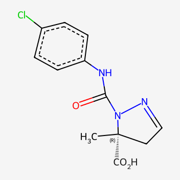 C[C@]1(C(=O)O)CC=NN1C(=O)Nc1ccc(Cl)cc1